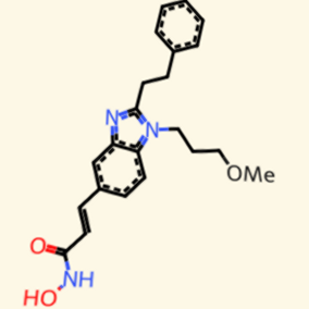 COCCCn1c(CCc2ccccc2)nc2cc(/C=C/C(=O)NO)ccc21